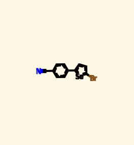 N#Cc1ccc(-c2ccc(Br)[se]2)cc1